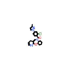 Cc1ccn(-c2ccc(C(=O)N3C=C4CC=CN=C4Oc4ccccc43)c(Cl)c2)n1